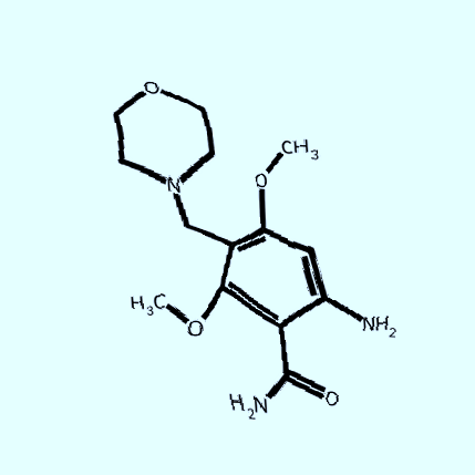 COc1cc(N)c(C(N)=O)c(OC)c1CN1CCOCC1